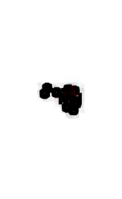 c1ccc(C2N=C(c3ccc(-c4cccc5ccccc45)cc3)N=C(c3cccc4oc5cccc(-c6ccc7ccccc7c6)c5c34)N2)cc1